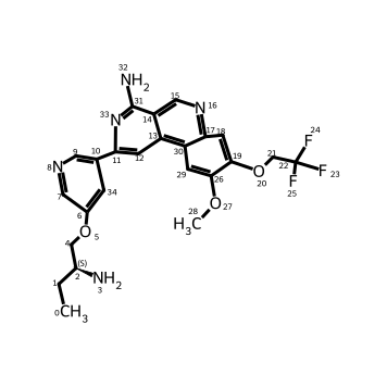 CC[C@H](N)COc1cncc(-c2cc3c(cnc4cc(OCC(F)(F)F)c(OC)cc43)c(N)n2)c1